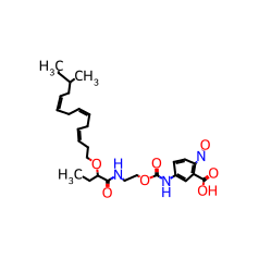 CCC(C)C/C=C\C/C=C\C/C=C\CCOC(CC)C(=O)NCCOC(=O)Nc1ccc(N=O)c(C(=O)O)c1